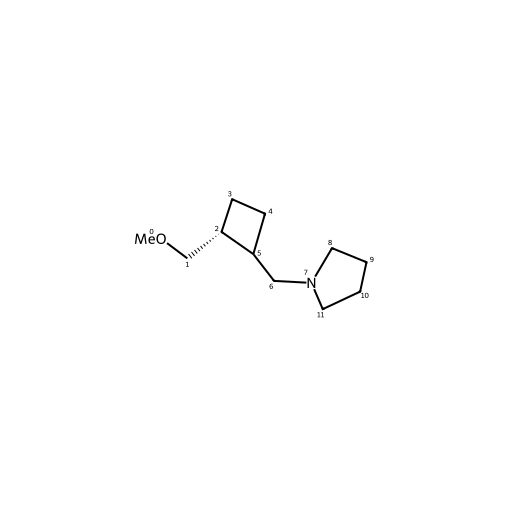 COC[C@@H]1CCC1CN1CCCC1